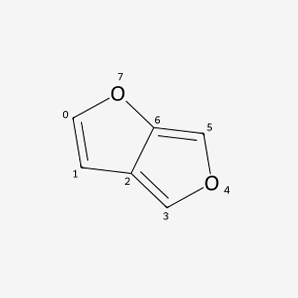 c1cc2cocc2o1